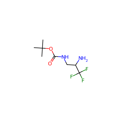 CC(C)(C)OC(=O)NCC(N)C(F)(F)F